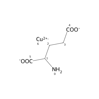 NC(CCC(=O)[O-])C(=O)[O-].[Cu+2]